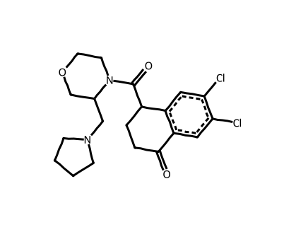 O=C1CCC(C(=O)N2CCOCC2CN2CCCC2)c2cc(Cl)c(Cl)cc21